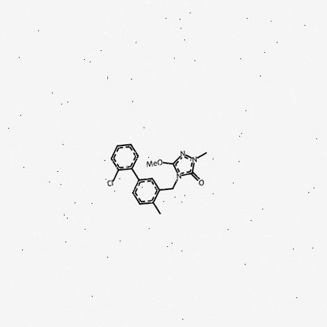 COc1nn(C)c(=O)n1Cc1cc(-c2ccccc2Cl)ccc1C